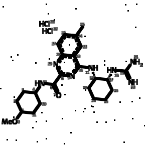 COC1CCC(NC(=O)c2nc(N[C@H]3CCCC[C@H]3NC(=N)N)c3cc(C)ccc3n2)CC1.Cl.Cl